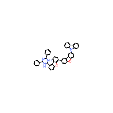 c1ccc(C2=NC(c3ccccc3)NC(c3cccc4oc5c(-c6ccc7oc8ccc(-n9c%10ccccc%10c%10ccccc%109)cc8c7c6)cccc5c34)N2)cc1